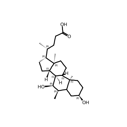 C[C@H](CCC(=O)O)[C@H]1CC[C@H]2[C@@H]3[C@H](O)[C@H](C)C4C[C@H](O)CC[C@]4(C)[C@H]3CC[C@]12C